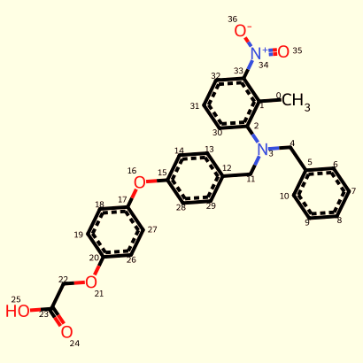 Cc1c(N(Cc2ccccc2)Cc2ccc(Oc3ccc(OCC(=O)O)cc3)cc2)cccc1[N+](=O)[O-]